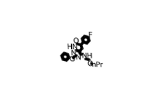 CCCOCCNc1nc(Oc2ccccc2)nc2c1CC(c1ccc(F)cc1)C(=O)N2